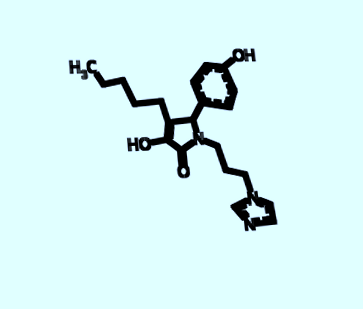 CCCCCC1=C(O)C(=O)N(CCCn2ccnc2)C1c1ccc(O)cc1